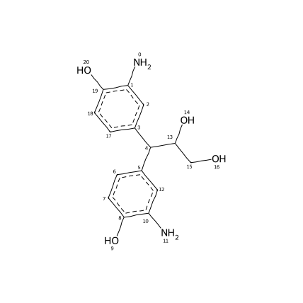 Nc1cc(C(c2ccc(O)c(N)c2)C(O)CO)ccc1O